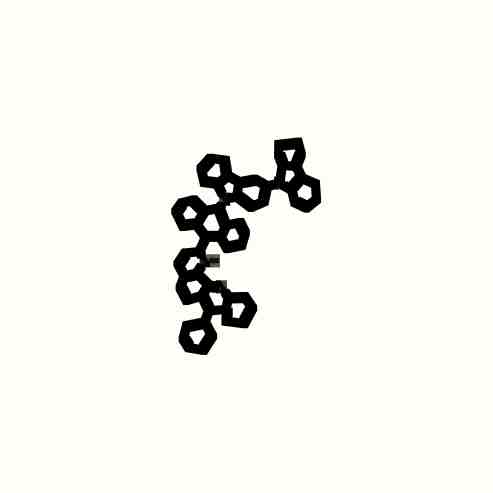 C1=Cc2c(c3ccccc3n2-c2ccc3c(c2)c2ccccc2n3-c2c3ccccc3c(C3C=Cc4ccc5c(-c6ccccc6)c6ccccc6nc5c4N3)c3ccccc23)CC1